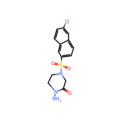 NN1CCN(S(=O)(=O)c2ccc3cc(Cl)ccc3c2)CC1=O